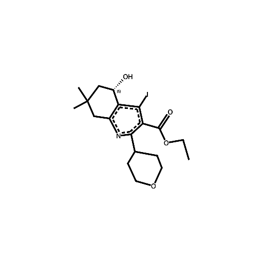 CCOC(=O)c1c(C2CCOCC2)nc2c(c1I)[C@@H](O)CC(C)(C)C2